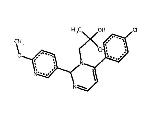 COc1ccc(C2N=CC=C(c3ccc(Cl)cc3)N2CC(C)(C)O)cn1